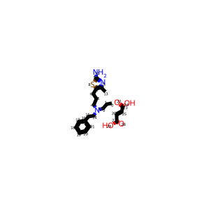 CCCN(CCCc1sc(N)nc1C)CCc1ccccc1.O=C(O)/C=C/C(=O)O